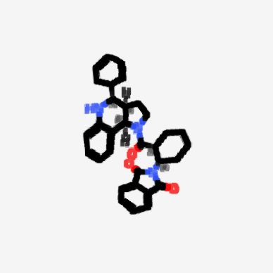 O=C([C@H]1CCCC[C@H]1N1C(=O)c2ccccc2C1=O)N1CC[C@@H]2[C@H](C3C=CC=CC3)Nc3ccccc3[C@@H]21